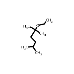 CCOC(C)(C)CCC(C)C